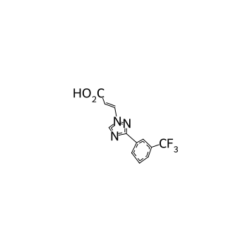 O=C(O)/C=C/n1cnc(-c2cccc(C(F)(F)F)c2)n1